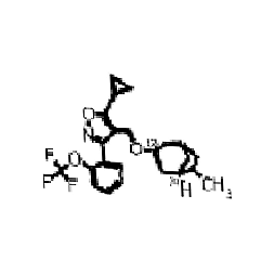 CC1CC2C[C@H](OCc3c(-c4ccccc4OC(F)(F)F)noc3C3CC3)C[C@H]1C2